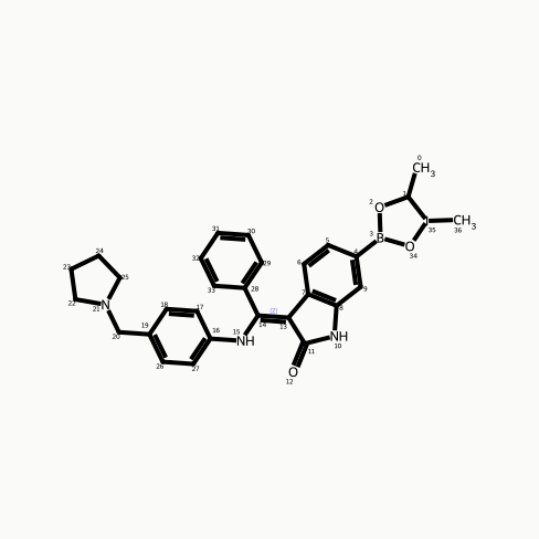 CC1OB(c2ccc3c(c2)NC(=O)/C3=C(\Nc2ccc(CN3CCCC3)cc2)c2ccccc2)OI1C